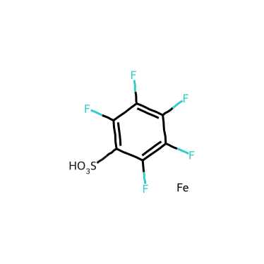 O=S(=O)(O)c1c(F)c(F)c(F)c(F)c1F.[Fe]